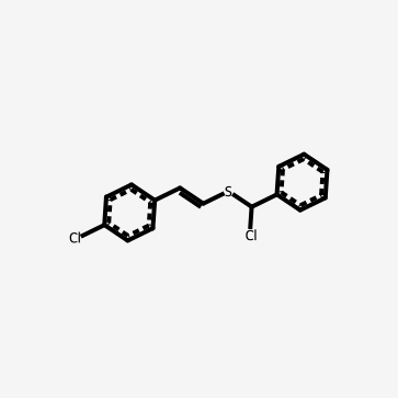 Clc1ccc(C=CSC(Cl)c2ccccc2)cc1